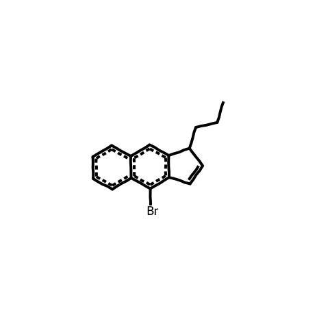 CCCC1C=Cc2c1cc1ccccc1c2Br